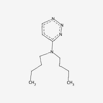 CCCCN(CCCC)c1ccnnn1